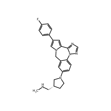 CNC[C@H]1CCN(c2ccc3c(c2)Cn2cc(-c4ccc(F)cc4)cc2-c2ncnn2-3)C1